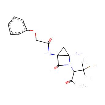 COC(=O)C(N1C(=O)[C@]2(NC(=O)COc3ccccc3)C[C@@]12N)C(C)(C)S